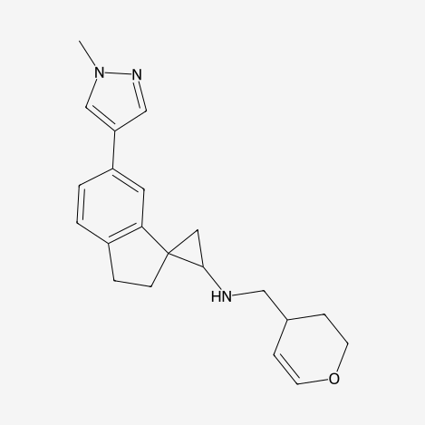 Cn1cc(-c2ccc3c(c2)C2(CC3)CC2NCC2C=COCC2)cn1